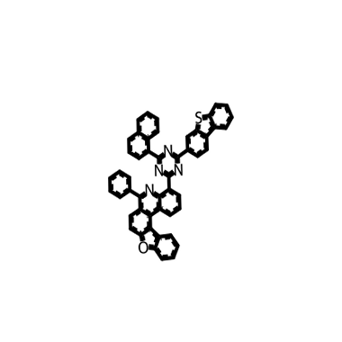 c1ccc(-c2nc3c(-c4nc(-c5ccc6c(c5)sc5ccccc56)nc(-c5cccc6ccccc56)n4)cccc3c3c2ccc2oc4ccccc4c23)cc1